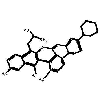 Cc1ccc2c(CC(C)C)c3c(c(C)c2c1)-c1c2c(cc4cc(C5CCCCC5)ccc4c2cc[n+]1C)O3